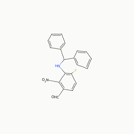 O=Cc1ccc(F)c(NC(c2ccccc2)c2ccccc2)c1[N+](=O)[O-]